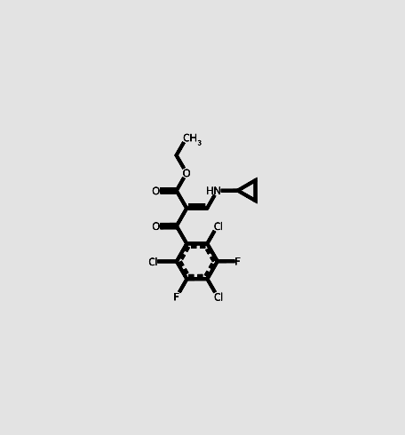 CCOC(=O)/C(=C\NC1CC1)C(=O)c1c(Cl)c(F)c(Cl)c(F)c1Cl